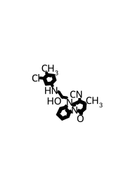 Cc1ccc(NCC(O)Cn2c3ccccc3n3c(=O)cc(C)c(C#N)c23)cc1Cl